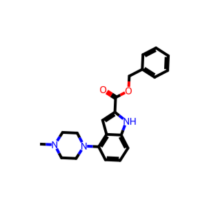 CN1CCN(c2cccc3[nH]c(C(=O)OCc4ccccc4)cc23)CC1